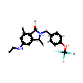 CCNc1cc(C)c2c(c1)C(C)N(Cc1ccc(OC(F)(F)F)cc1)C2=O